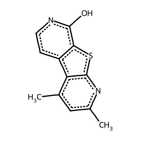 Cc1cc(C)c2c(n1)sc1c(O)nccc12